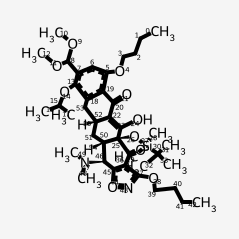 CCCCOc1cc(C(OC)OC)c(OC(C)C)c2c1C(=O)C1=C(O)[C@]3(O[Si](C)(C)C(C)(C)C)C(=O)c4c(OCCCC)noc4[C@@H](N(C)C)[C@@H]3C[C@@H]1C2